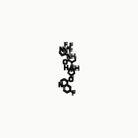 CCC(C(=O)Nc1ccnn1C(F)(F)F)[C@H]1[C@@H]2C[C@@H](Oc3ccnc4ccc(F)cc34)C[C@@H]21